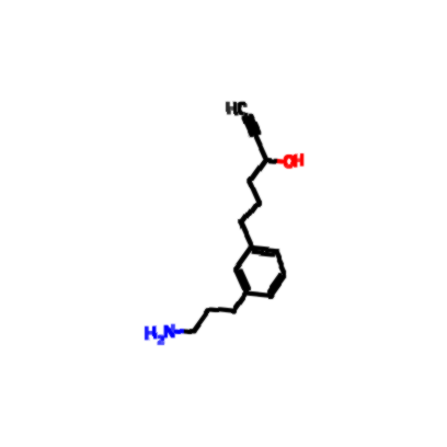 C#CC(O)CCCc1cccc(CCCN)c1